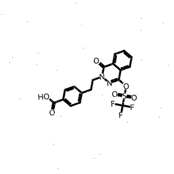 O=C(O)c1ccc(CCn2nc(OS(=O)(=O)C(F)(F)F)c3ccccc3c2=O)cc1